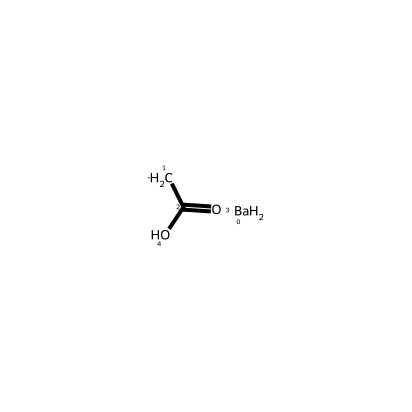 [BaH2].[CH2]C(=O)O